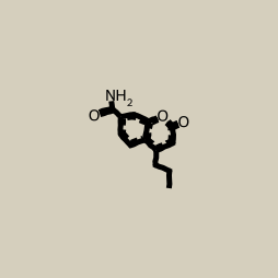 CCCc1cc(=O)oc2cc(C(N)=O)ccc12